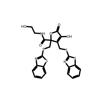 O=C1OC(CSc2nc3ccccc3s2)(C(=O)NCCO)C(CSc2nc3ccccc3s2)=C1O